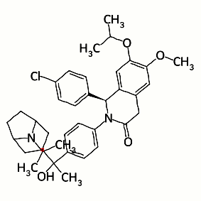 COc1cc2c(cc1OC(C)C)[C@H](c1ccc(Cl)cc1)N(c1ccc(C(C)(O)C3CC4CCC(C3)N4C(C)C)cc1)C(=O)C2